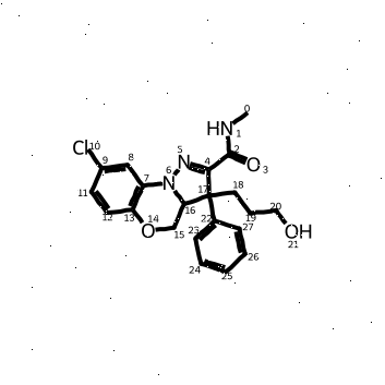 CNC(=O)C1=NN2c3cc(Cl)ccc3OCC2C1(CCCO)c1ccccc1